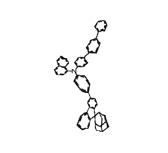 c1ccc(-c2ccc(-c3ccc(N(c4ccc(-c5ccc6c(c5)-c5ccccc5C65C6CC7CC(C6)CC5C7)cc4)c4cccc5ccccc45)cc3)cc2)cc1